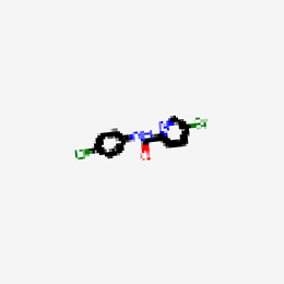 O=C(Nc1ccc(Cl)cc1)c1ccc(Br)cn1